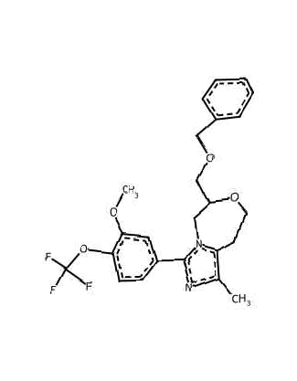 COc1cc(-c2nc(C)c3n2CC(COCc2ccccc2)OCC3)ccc1OC(F)(F)F